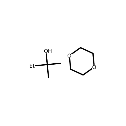 C1COCCO1.CCC(C)(C)O